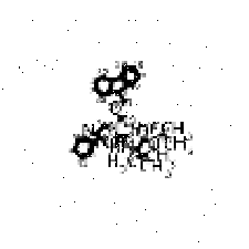 Cn1c(CN(CCN[C@H](C(=O)OC(C)(C)C)C(C)(C)C)C(=O)OCC2c3ccccc3-c3ccccc32)nc2ccccc21